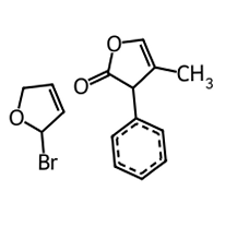 BrC1C=CCO1.CC1=COC(=O)C1c1ccccc1